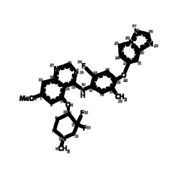 COc1cc(O[C@@H]2CCN(C)CC2(F)F)c2c(Nc3cc(C)c(Oc4ccn5ncnc5c4)cc3F)ncnc2c1